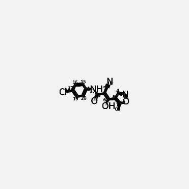 Cc1oncc1/C(O)=C(\C#N)C(=O)Nc1ccc(Cl)cc1